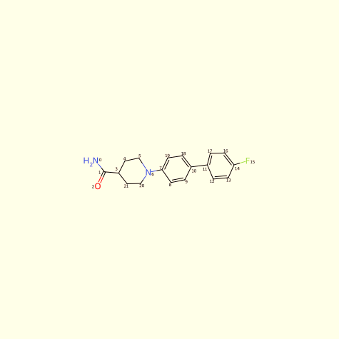 NC(=O)C1CCN(c2ccc(-c3ccc(F)cc3)cc2)CC1